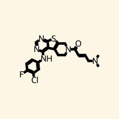 CN(C)CC=CC(=O)N1CCc2c(sc3ncnc(Nc4ccc(F)c(Cl)c4)c23)C1